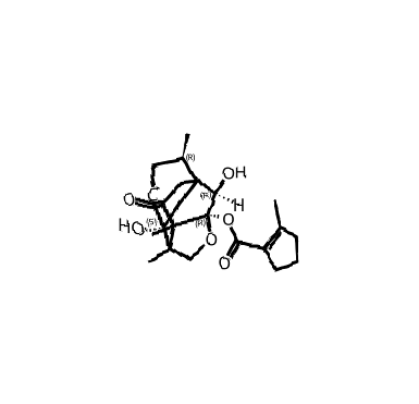 CC1=C(C(=O)O[C@]23OCC4(C)C2(C)C(=O)CC2([C@H](C)CC[C@@]24O)[C@H]3O)CCC1